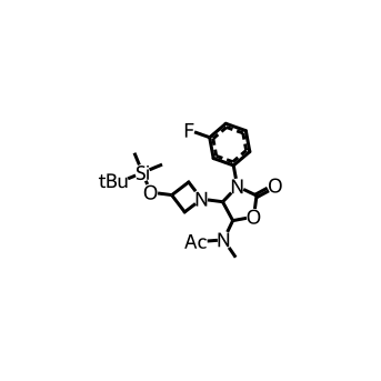 CC(=O)N(C)C1OC(=O)N(c2cccc(F)c2)C1N1CC(O[Si](C)(C)C(C)(C)C)C1